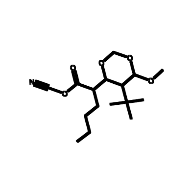 CCCCC(C(=O)OC#N)C1OCOC(OC)C1C(C)(C)C